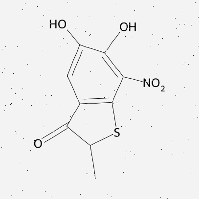 CC1Sc2c(cc(O)c(O)c2[N+](=O)[O-])C1=O